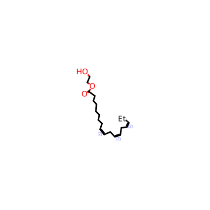 CC/C=C\C/C=C\C/C=C\CCCCCCCC(=O)OCCO